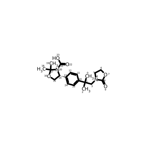 CC(C)(CN1CCOC1=O)c1ccc([C@@H]2COC(C)(C)N2C(=O)O)cc1